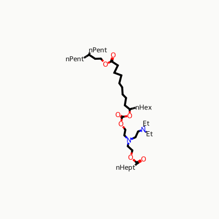 CCCCCCCC(=O)OCCN(CCOC(=O)OC(CCCCCC)CCCCCCCCC(=O)OCCC(CCCCC)CCCCC)CCN(CC)CC